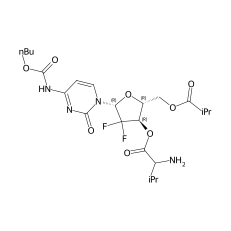 CCCCOC(=O)Nc1ccn([C@@H]2O[C@H](COC(=O)C(C)C)[C@@H](OC(=O)C(N)C(C)C)C2(F)F)c(=O)n1